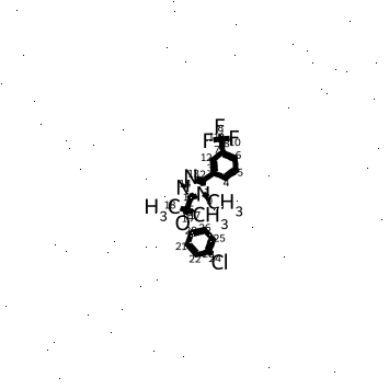 Cn1c(-c2cccc(C(F)(F)F)c2)nnc1C(C)(C)Oc1ccc(Cl)cc1